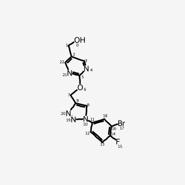 OCc1cnc(OCc2cn(-c3ccc(F)c(Br)c3)nn2)nc1